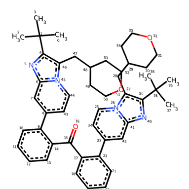 CC(C)(C)c1nc2cc(-c3ccccc3C(=O)c3ccccc3-c3ccn4c(CC5CCOCC5)c(C(C)(C)C)nc4c3)ccn2c1CC1CCOCC1